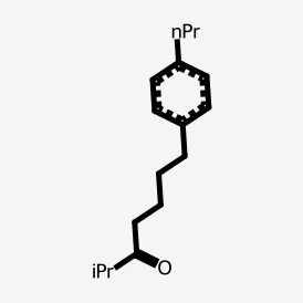 CCCc1ccc(CCCCC(=O)C(C)C)cc1